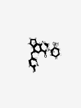 Cc1ccc(Cc2cc3c(=O)n([C@H]4CCCC[C@@H]4O)cnc3c3c2CCC3)cn1